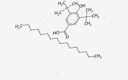 CC(C)(C)c1cc(C(=O)O)cc(C(C)(C)C)c1O.CCCCCCCCCCCCCCCC